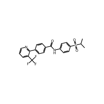 CC(C)S(=O)(=O)c1ccc(NC(=O)c2ccc(-c3ncccc3C(F)(F)F)cc2)cc1